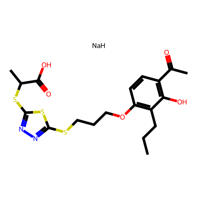 CCCc1c(OCCCSc2nnc(SC(C)C(=O)O)s2)ccc(C(C)=O)c1O.[NaH]